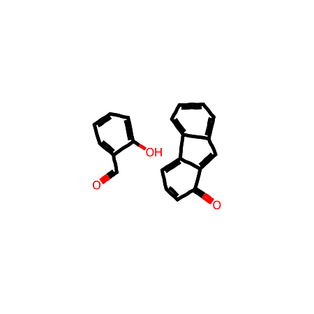 O=C1C=CC=C2C1=Cc1ccccc12.O=Cc1ccccc1O